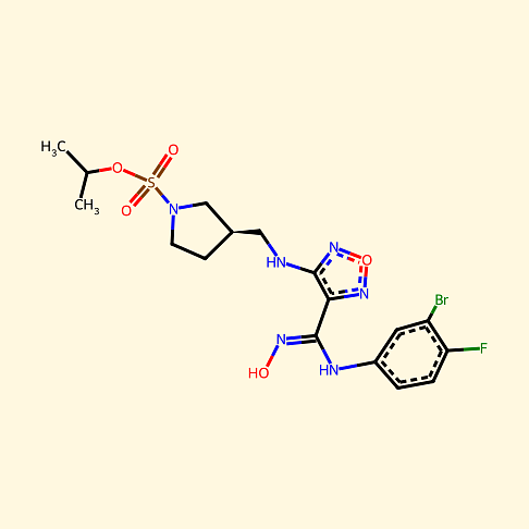 CC(C)OS(=O)(=O)N1CC[C@H](CNc2nonc2/C(=N/O)Nc2ccc(F)c(Br)c2)C1